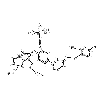 COCCn1c(Cc2ccc(-c3cccc(OCc4ccc(C#N)cc4F)n3)cc2C#CC(C)(C)O)nc2ccc(C(=O)O)cc21